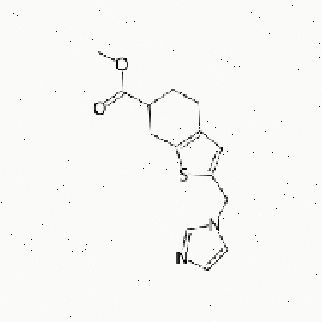 COC(=O)C1CCc2cc(Cn3ccnc3)sc2C1